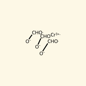 O=[C][O-].O=[C][O-].O=[C][O-].[Cr+3]